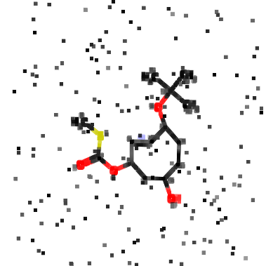 CSC(=O)OC1/C=C/C(OC(C)(C)C)CCC(O)C1